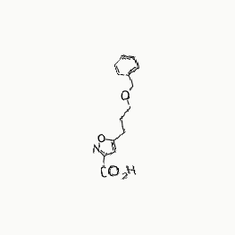 O=C(O)c1cc(CCCOCc2ccccc2)on1